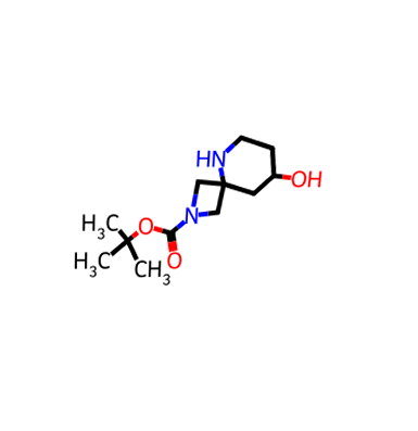 CC(C)(C)OC(=O)N1CC2(CC(O)CCN2)C1